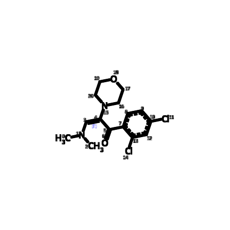 CN(C)/C=C(\C(=O)c1ccc(Cl)cc1Cl)N1CCOCC1